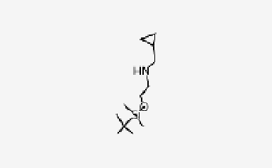 CC(C)(C)[Si](C)(C)OCCNCC1CC1